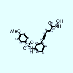 COc1ccc(S(=O)(=O)Nc2cccc(C#CC=CC(=O)NO)c2)cc1